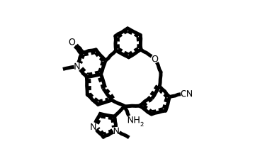 Cn1cncc1C1(N)c2ccc(C#N)c(c2)COc2cccc(c2)-c2cc(=O)n(C)c3ccc1cc23